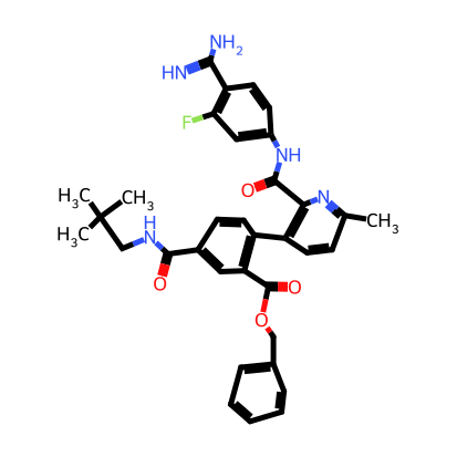 Cc1ccc(-c2ccc(C(=O)NCC(C)(C)C)cc2C(=O)OCc2ccccc2)c(C(=O)Nc2ccc(C(=N)N)c(F)c2)n1